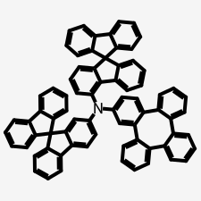 c1ccc2c(c1)-c1ccccc1-c1ccc(N(c3ccc4c(c3)C3(c5ccccc5-c5ccccc53)c3ccccc3-4)c3cccc4c3-c3ccccc3C43c4ccccc4-c4ccccc43)cc1-c1ccccc1-2